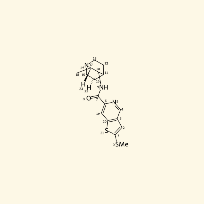 CSc1cc2cnc(C(=O)N[C@@H]3C4CCN(CC4)[C@H]3C)cc2s1